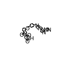 O=C1CC[C@H](N2Cc3c(OCc4ccc(CN5CCN(c6ccnc(-n7ccnc7)n6)CC5)cc4)cccc3C2=O)C(=O)N1